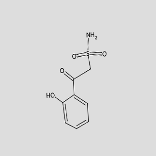 NS(=O)(=O)CC(=O)c1ccccc1O